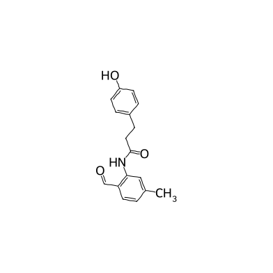 Cc1ccc(C=O)c(NC(=O)CCc2ccc(O)cc2)c1